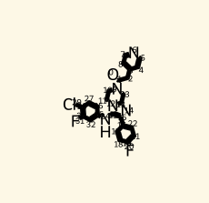 O=C(Cc1ccncc1)N1CCn2c(nc(-c3ccc(F)cc3)c2Nc2ccc(Cl)c(F)c2)C1